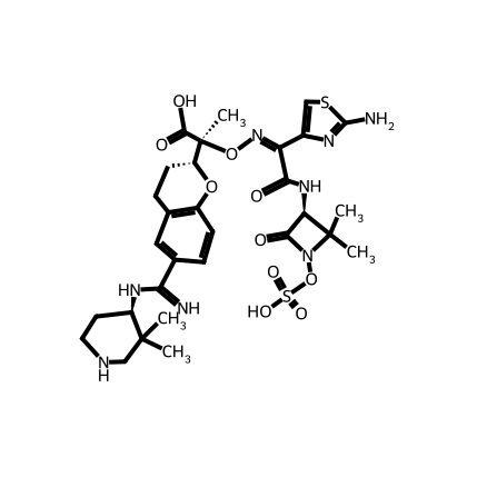 CC1(C)CNCC[C@H]1NC(=N)c1ccc2c(c1)CC[C@H]([C@](C)(O/N=C(\C(=O)N[C@@H]1C(=O)N(OS(=O)(=O)O)C1(C)C)c1csc(N)n1)C(=O)O)O2